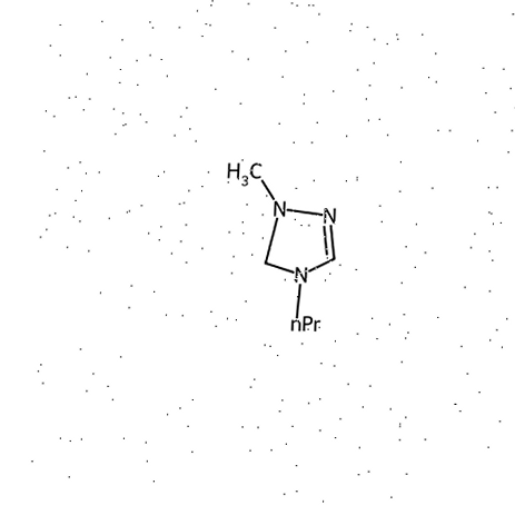 CCCN1C=NN(C)C1